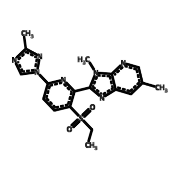 CCS(=O)(=O)c1ccc(-n2cnc(C)n2)nc1-c1nc2cc(C)cnc2n1C